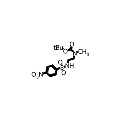 CN(CCNS(=O)(=O)c1ccc([N+](=O)[O-])cc1)C(=O)OC(C)(C)C